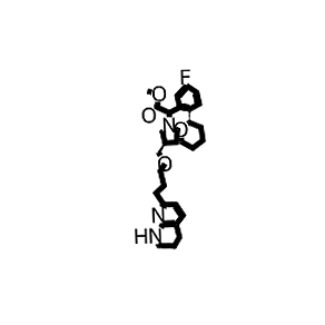 COC(=O)C(c1cc(F)ccc1[C@@H]1CCCCO1)N1CC[C@@H](COCCCc2ccc3c(n2)NCCC3)C1